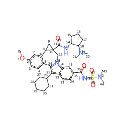 COc1ccc2c(c1)C1CC1(C(=O)N[C@@H]1CCC[C@H]1N(C)C)Cn1c-2c(C2CCCCC2)c2ccc(C(=O)NS(=O)(=O)N(C)C)cc21